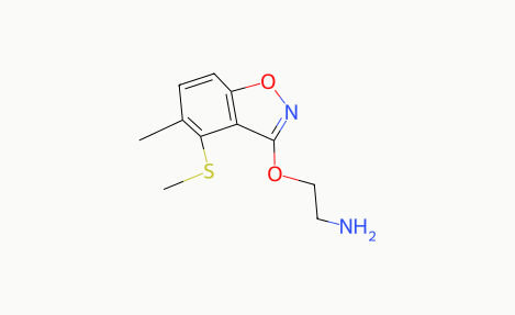 CSc1c(C)ccc2onc(OCCN)c12